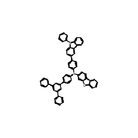 c1ccc(-c2cc(-c3ccccc3)cc(-c3ccc(N(c4ccc(-c5ccc6c(c5)c5ccccc5n6-c5ccccc5)cc4)c4ccc5c(c4)oc4ccccc45)cc3)c2)cc1